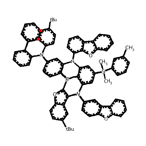 Cc1cccc([Si](C)(C)c2cc3c4c(c2)N(c2cccc5c2oc2ccccc25)c2cc(N(c5ccc(C(C)(C)C)cc5)c5ccccc5-c5ccccc5)ccc2B4c2oc4ccc(C(C)(C)C)cc4c2N3c2ccc3oc4ccccc4c3c2)c1